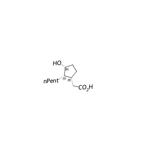 CCCCC[C@H]1[C@@H](CC(=O)O)CC[C@H]1O